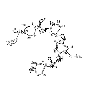 CC(C)(C)OC(=O)N1CCC(C(=O)Nc2cc(Oc3ccc(NC(=O)Nc4ccc(F)cc4)c(CI)c3)ccn2)CC1